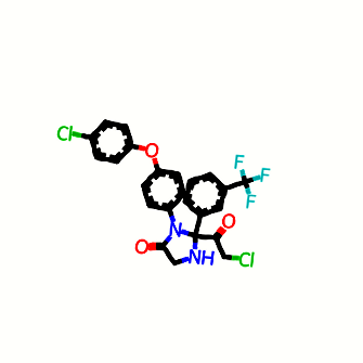 O=C1CNC(C(=O)CCl)(c2cccc(C(F)(F)F)c2)N1c1ccc(Oc2ccc(Cl)cc2)cc1